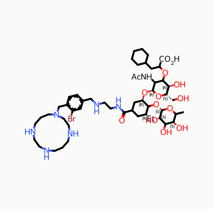 CC[C@@H]1CC(C(=O)NCCNCc2ccc(CN3CCCNCCNCCCNCC3)c(Br)c2)C[C@@H](O[C@@H]2O[C@@H](CO)[C@H](O)C(OC(CC3CCCCC3)C(=O)O)C2NC(C)=O)C1O[C@@H]1OC(C)[C@@H](O)C(O)[C@@H]1O